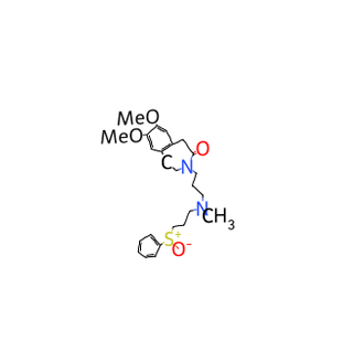 COc1cc2c(cc1OC)CC(=O)N(CCCN(C)CCC[S+]([O-])c1ccccc1)CC2